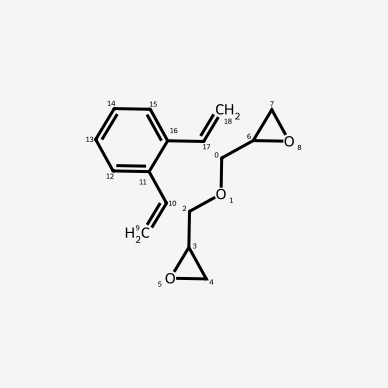 C(OCC1CO1)C1CO1.C=Cc1ccccc1C=C